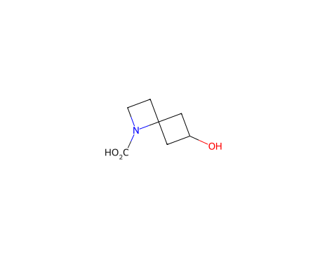 O=C(O)N1CCC12CC(O)C2